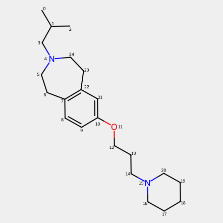 CC(C)CN1CCc2ccc(OCCCN3CCCCC3)cc2CC1